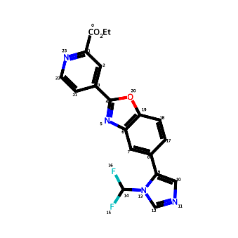 CCOC(=O)c1cc(-c2nc3cc(-c4cncn4C(F)F)ccc3o2)ccn1